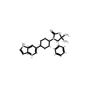 CC1(C)OC(=O)N(C2CCC(c3cnc4cc[nH]c4c3)CC2)[C@H]1c1ccccc1